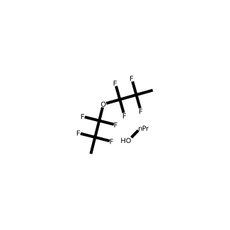 CC(F)(F)C(F)(F)OC(F)(F)C(C)(F)F.CCCO